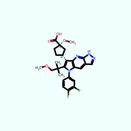 COCC(C)(C)c1c([C@@H]2CC[C@@](OC)(C(=O)O)C2)c2nc3[nH]ncc3cc2n1-c1ccc(F)c(F)c1